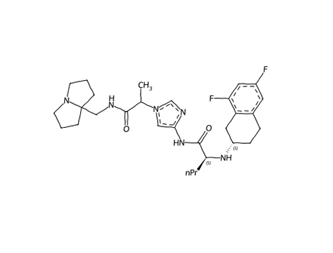 CCC[C@H](N[C@H]1CCc2cc(F)cc(F)c2C1)C(=O)Nc1cn(C(C)C(=O)NCC23CCCN2CCC3)cn1